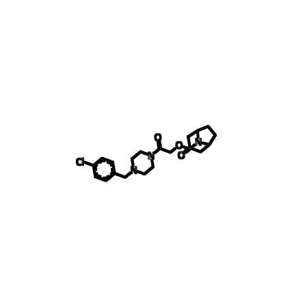 O=C1CC2CCC(C1)N2COCC(=O)N1CCN(Cc2ccc(Cl)cc2)CC1